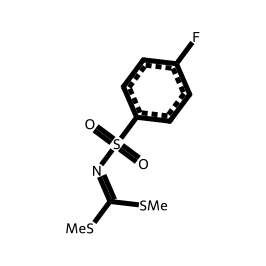 CSC(=NS(=O)(=O)c1ccc(F)cc1)SC